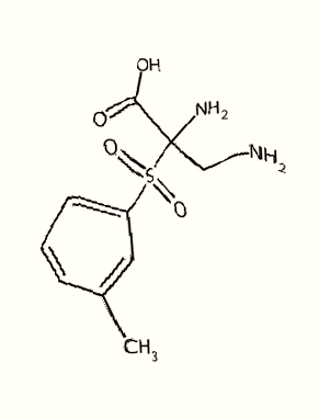 Cc1cccc(S(=O)(=O)C(N)(CN)C(=O)O)c1